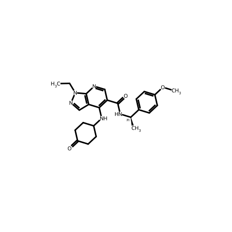 CCn1ncc2c(NC3CCC(=O)CC3)c(C(=O)N[C@H](C)c3ccc(OC)cc3)cnc21